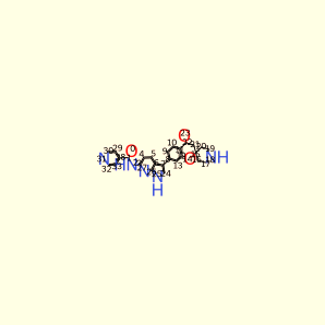 O=C(Nc1ccc2c(-c3ccc4c(c3)OC3(CCNCC3)CC4=O)c[nH]c2n1)c1ccncc1